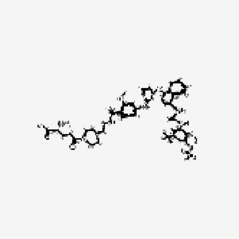 COc1cc(Nc2cc(Oc3ccc(NC(=O)Nc4cc(C(C)(C)C)cc(NS(C)(=O)=O)c4OC)c4ccccc34)ccn2)ccc1C(=O)NCCN1CCN(C(=O)CC[C@@H](N)C(=O)O)CC1